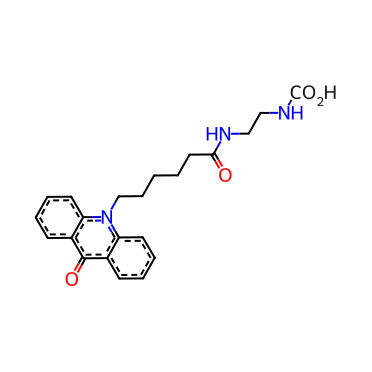 O=C(O)NCCNC(=O)CCCCCn1c2ccccc2c(=O)c2ccccc21